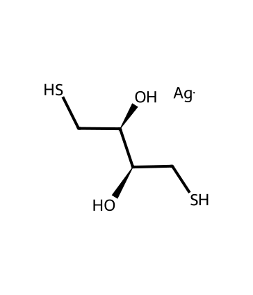 O[C@H](CS)[C@H](O)CS.[Ag]